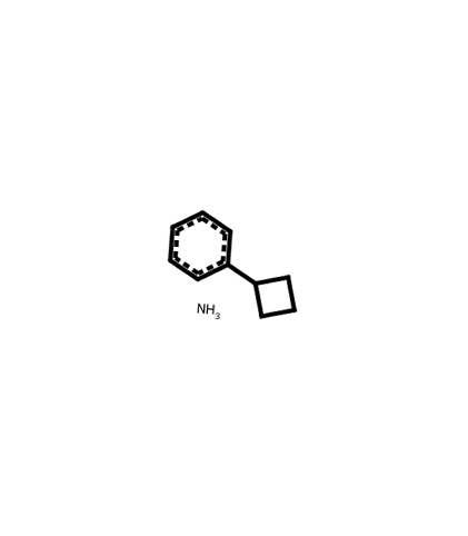 N.c1ccc(C2CCC2)cc1